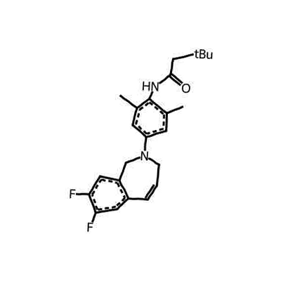 Cc1cc(N2CC=Cc3cc(F)c(F)cc3C2)cc(C)c1NC(=O)CC(C)(C)C